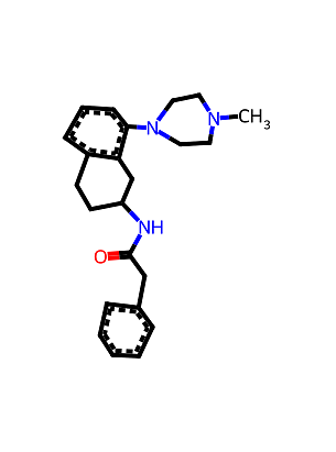 CN1CCN(c2cccc3c2CC(NC(=O)Cc2ccccc2)CC3)CC1